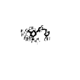 CC(C)(C)c1cc(-c2csc(CN3CC[C@@H](O)C3)n2)cc(C(C)(C)C)c1O